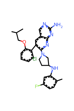 Cc1ccc(F)cc1NC1CCN(c2nc3nc(N)ncc3cc2-c2c(Cl)cccc2OCC(C)C)C1